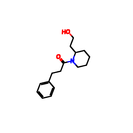 O=C(CCc1ccccc1)N1CCCCC1CCO